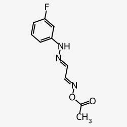 CC(=O)ON=CC=NNc1cccc(F)c1